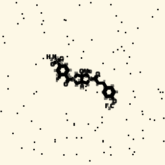 CO[C@@]12CN(C(=O)CCc3ccc(OC(F)(F)F)cc3)C[C@H]1CN(C(=O)c1ccc(S(N)(=O)=O)cc1F)C2